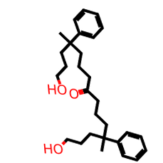 CC(CCCO)(CCCC(=O)CCCC(C)(CCCO)c1ccccc1)c1ccccc1